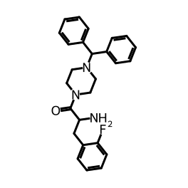 NC(Cc1ccccc1F)C(=O)N1CCN(C(c2ccccc2)c2ccccc2)CC1